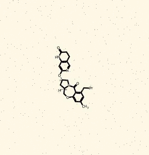 Cc1cc(CC(C)C)c2c(c1)OC[C@H]1C[C@H](Oc3cc4c(cn3)CCC(=O)N4)CN1C2=O